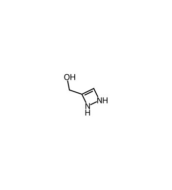 OCc1c[nH][nH]1